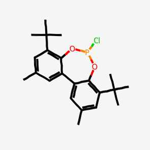 Cc1cc(C(C)(C)C)c2op(Cl)oc3c(C(C)(C)C)cc(C)cc3c2c1